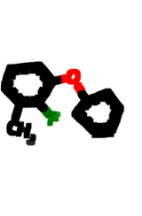 Cc1cccc(Oc2cc#ccc2)c1F